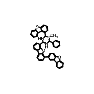 CN1C(c2ccccc2)NC(c2cccc3c2oc2c(-c4ccc5oc6ccccc6c5c4)cccc23)NC1c1cccc2sc3ccccc3c12